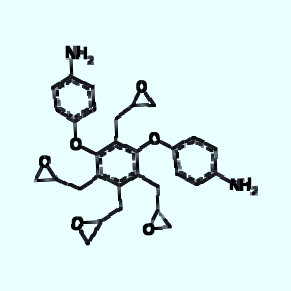 Nc1ccc(Oc2c(CC3CO3)c(CC3CO3)c(CC3CO3)c(Oc3ccc(N)cc3)c2CC2CO2)cc1